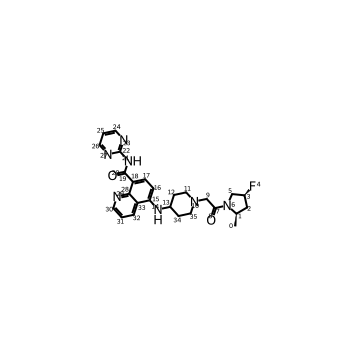 C[C@@H]1C[C@H](F)CN1C(=O)CN1CCC(Nc2ccc(C(=O)Nc3ncccn3)c3ncccc23)CC1